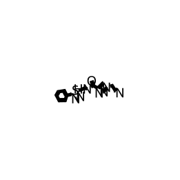 N#CCn1cc(C(=O)NCc2nnc(-c3ccccc3)s2)nn1